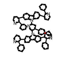 N#Cc1ccc(-c2cc(-n3c4cc(-c5cccnc5-c5ccccc5)ccc4c4ccc(-c5cccnc5-c5ccccc5)cc43)ncc2-n2c3cc(-c4cccnc4-c4ccccc4)ccc3c3ccc(-c4cccnc4-c4ccccc4)cc32)cc1